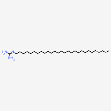 CCCCCCCCCCCCCCCCCCCCCCCCCCCCN=C(N)N